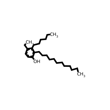 CCCCCCCCCCCCc1c(O)ccc(CC)c1CCCCCC